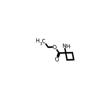 CCOC(=O)C1([NH])CCC1